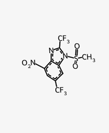 CS(=O)(=O)n1c(C(F)(F)F)nc2c([N+](=O)[O-])cc(C(F)(F)F)cc21